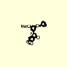 COc1cc(OCc2ccccc2)cc(C2=Nc3cc4c(cc3C(=O)C2)OCO4)c1